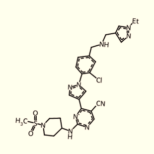 CCn1cc(CNCc2ccc(-n3cc(-c4nc(NC5CCN(S(C)(=O)=O)CC5)ncc4C#N)cn3)c(Cl)c2)cn1